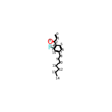 C=CC(=O)c1ccc(CCCCCCC)cc1F